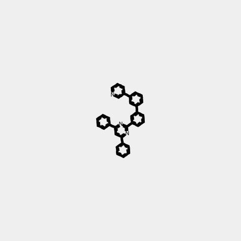 c1ccc(-c2cc(-c3ccccc3)nc(-c3cccc(-c4cccc(-c5cccnc5)c4)c3)n2)cc1